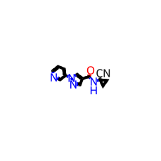 N#CC1(NC(=O)c2cnn(-c3cccnc3)c2)CC1